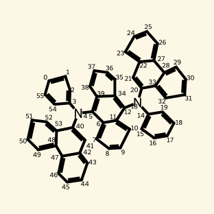 c1ccc(N(c2c3ccccc3c(N(c3ccccc3)c3cc4ccccc4c4ccccc34)c3ccccc23)c2cc3ccccc3c3ccccc23)cc1